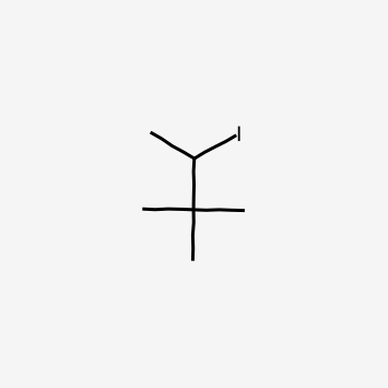 CC(I)C(C)(C)C